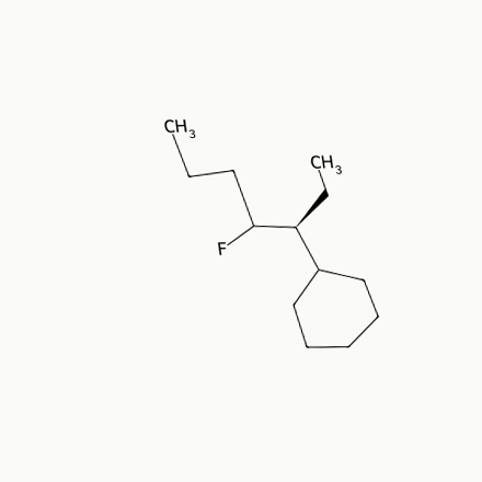 CCCC(F)[C@@H](CC)C1CCCCC1